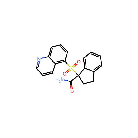 NC(=O)C1(S(=O)(=O)c2cccc3ncccc23)CCc2ccccc21